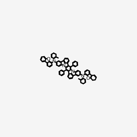 CC1=C(N(c2ccc3c(c2)c2cccc4c5c(-c6ccccc6)c6c(c(-c7ccccc7)c5n3c24)c2cccc3c4cc(N(C5=C(C)CCC=C5)c5cccc7c5oc5ccccc57)ccc4n6c32)c2cccc3c4c(oc23)CCC=C4)C=CCC1